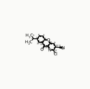 CC(C)c1ccc2oc3cc(C#N)c(Cl)nc3c(=O)c2c1